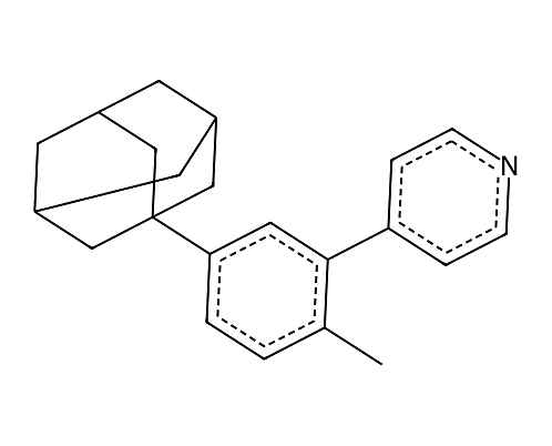 Cc1ccc(C23CC4CC(CC(C4)C2)C3)cc1-c1ccncc1